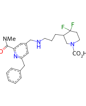 CNC(=O)c1cc(CNCCCC2CN(C(=O)O)CCC2(F)F)cc(Cc2ccccc2)n1